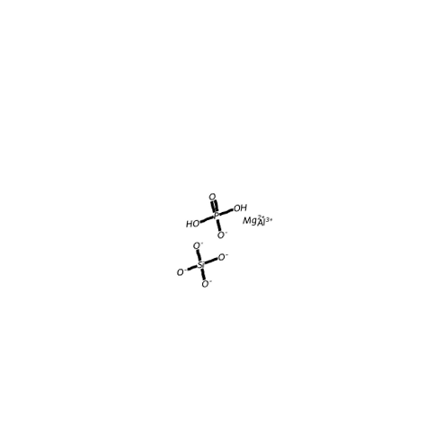 O=P([O-])(O)O.[Al+3].[Mg+2].[O-][Si]([O-])([O-])[O-]